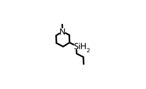 CCC[SiH2]C1CCCN(C)C1